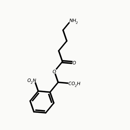 NCCCC(=O)OC(C(=O)O)c1ccccc1[N+](=O)[O-]